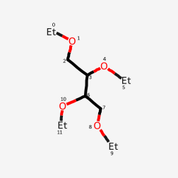 CCOCC(OCC)C(COCC)OCC